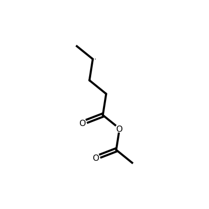 C[CH]CCC(=O)OC(C)=O